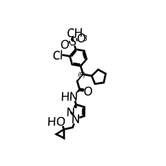 CS(=O)(=O)c1ccc([C@H](CC(=O)Nc2ccn(CC3(O)CC3)n2)C2CCCC2)cc1Cl